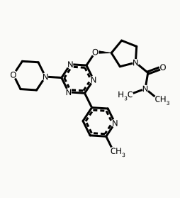 Cc1ccc(-c2nc(O[C@H]3CCN(C(=O)N(C)C)C3)nc(N3CCOCC3)n2)cn1